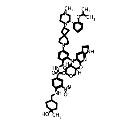 CC(C)Oc1ccccc1[C@H]1CN(C)CCN1C1CC2(CCN(c3ccc(C(=O)NS(=O)(=O)c4ccc(NCC5CCC(C)(O)CC5)c([N+](=O)[O-])c4)c(N4c5cc6cc[nH]c6nc5O[C@H]5COCC[C@@H]54)c3)CC2)C1